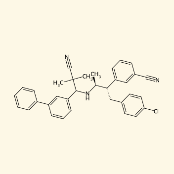 C[C@H](NC(c1cccc(-c2ccccc2)c1)C(C)(C)C#N)[C@@H](Cc1ccc(Cl)cc1)c1cccc(C#N)c1